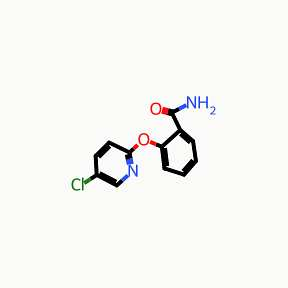 NC(=O)c1ccccc1Oc1ccc(Cl)cn1